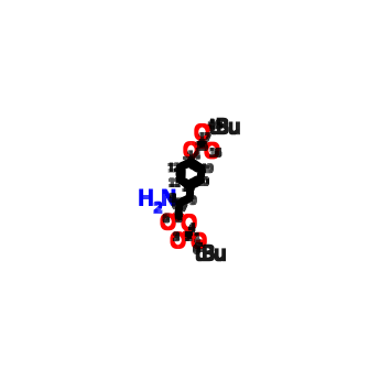 CC(C)(C)OC(=O)OC(=O)[C@@H](N)Cc1ccc(OC(=O)OC(C)(C)C)cc1